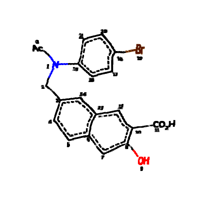 CC(=O)N(Cc1ccc2cc(O)c(C(=O)O)cc2c1)c1ccc(Br)cc1